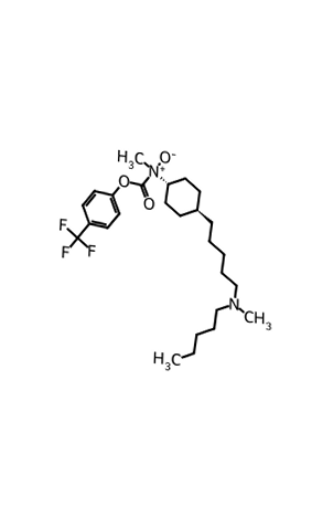 CCCCCN(C)CCCCC[C@H]1CC[C@H]([N+](C)([O-])C(=O)Oc2ccc(C(F)(F)F)cc2)CC1